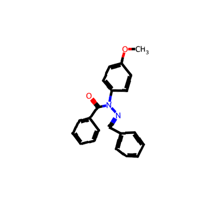 COc1ccc(N(N=Cc2ccccc2)C(=O)c2ccccc2)cc1